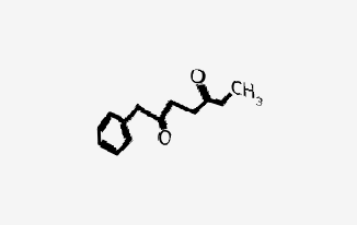 CCC(=O)CCC(=O)Cc1ccccc1